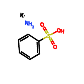 N.O=S(=O)(O)c1ccccc1.[K]